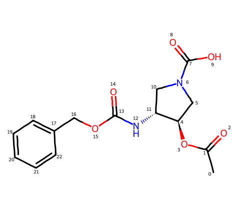 CC(=O)O[C@@H]1CN(C(=O)O)C[C@H]1NC(=O)OCc1ccccc1